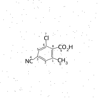 Cc1cc(C#N)cc(Cl)c1C(=O)O